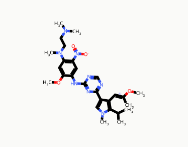 CO/C(C)=C/c1c(-c2ncnc(Nc3cc([N+](=O)[O-])c(N(C)CCN(C)C)cc3OC)n2)cn(C)c1C(C)C